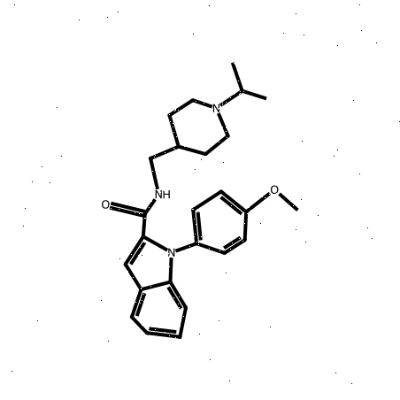 COc1ccc(-n2c(C(=O)NCC3CCN(C(C)C)CC3)cc3ccccc32)cc1